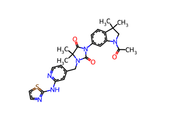 CC(=O)N1CC(C)(C)c2ccc(N3C(=O)N(Cc4ccnc(Nc5nccs5)c4)C(C)(C)C3=O)cc21